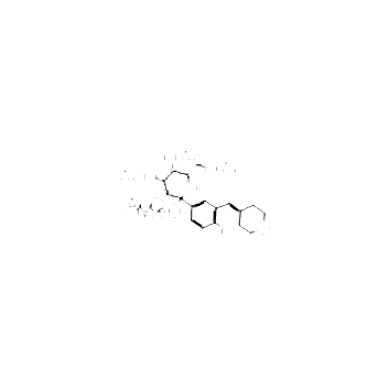 COC1(c2ccc(Cl)c(C=C3CCOCC3)c2)O[C@H](COC(C)=O)[C@@H](OC(C)=O)[C@H](OC(C)=O)[C@H]1OC(C)=O